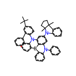 CC(C)(C)c1ccc(N2c3ccccc3B3c4ccccc4N(c4ccccc4)c4cc(N5c6ccccc6C6(C)CCCC56C)cc2c43)c(-c2ccccc2)c1